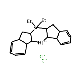 CC[Si]1(CC)C2CC3C=CC=CC3[CH]2[Hf+2][CH]2C3C=CC=CC3CC21.[Cl-].[Cl-]